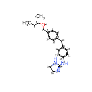 CCC(C)OCc1ccc(Cc2ccc(NC3=NCCN3)cc2)cc1